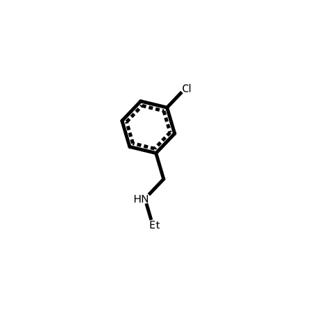 [CH2]CNCc1cccc(Cl)c1